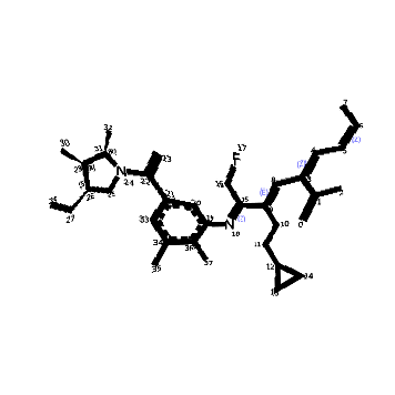 C=C(C)C(=C\C=C/C)/C=C(CCC1CC1)/C(CF)=N/c1cc(C(=C)N2C[C@@H](CC)[C@@H](C)[C@H]2C)cc(C)c1C